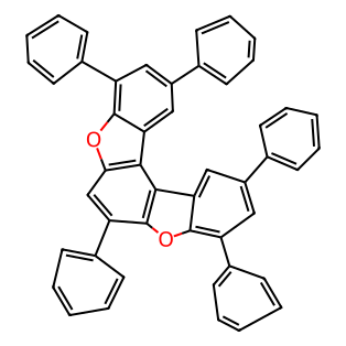 c1ccc(-c2cc(-c3ccccc3)c3oc4cc(-c5ccccc5)c5oc6c(-c7ccccc7)cc(-c7ccccc7)cc6c5c4c3c2)cc1